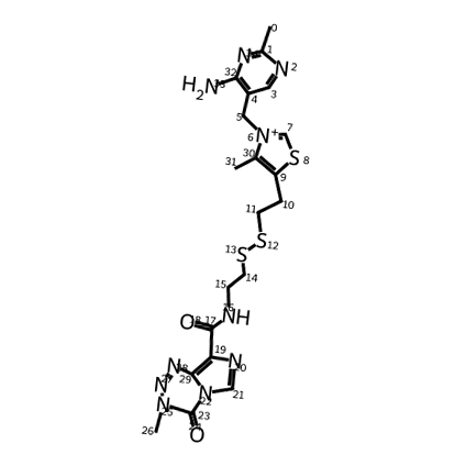 Cc1ncc(C[n+]2csc(CCSSCCNC(=O)c3ncn4c(=O)n(C)nnc34)c2C)c(N)n1